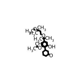 COC(C)(C)CCOC(C)(C)c1cc(O)c(C2CCCC(=O)C2)c(OC(C)C)c1